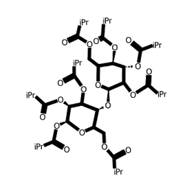 CC(C)C(=O)OCC1O[C@@H](OC(=O)C(C)C)[C@@H](OC(=O)C(C)C)C(OC(=O)C(C)C)[C@@H]1O[C@H]1OC(COC(=O)C(C)C)[C@@H](OC(=O)C(C)C)[C@H](OC(=O)C(C)C)C1OC(=O)C(C)C